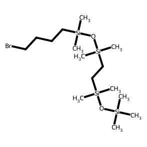 C[Si](C)(C)O[Si](C)(C)CC[Si](C)(C)O[Si](C)(C)CCCCBr